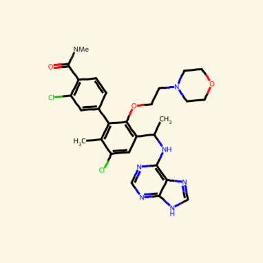 CNC(=O)c1ccc(-c2c(C)c(Cl)cc(C(C)Nc3ncnc4[nH]cnc34)c2OCCN2CCOCC2)cc1Cl